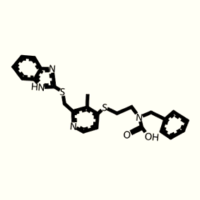 Cc1c(SCCN(Cc2ccccc2)C(=O)O)ccnc1CSc1nc2ccccc2[nH]1